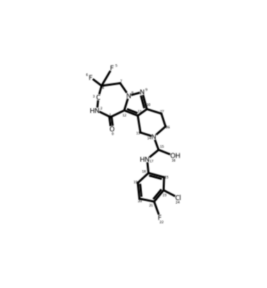 O=C1NCC(F)(F)Cn2nc3c(c21)CN(C(O)Nc1ccc(F)c(Cl)c1)CC3